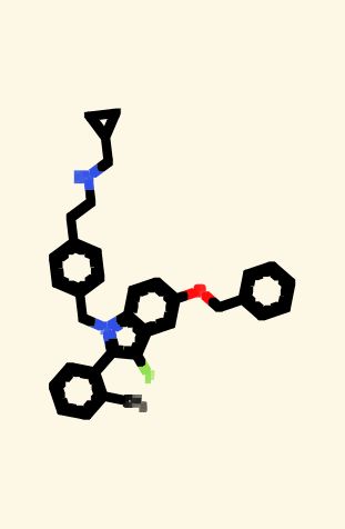 Cc1ccccc1-c1c(F)c2cc(OCc3ccccc3)ccc2n1Cc1ccc(CCNCC2CC2)cc1